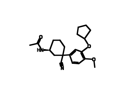 COc1ccc(C2(C#N)CCC[C@H](NC(C)=O)C2)cc1OC1CCCC1